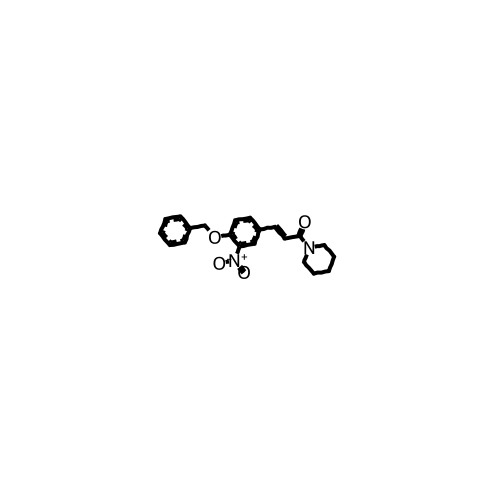 O=C(/C=C/c1ccc(OCc2ccccc2)c([N+](=O)[O-])c1)N1CCCCC1